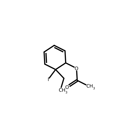 CCC1(I)C=CC=CC1OC(C)=O